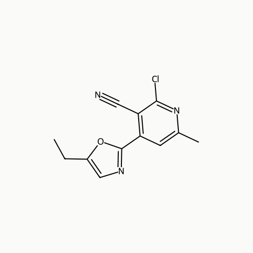 CCc1cnc(-c2cc(C)nc(Cl)c2C#N)o1